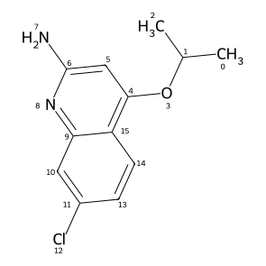 CC(C)Oc1cc(N)nc2cc(Cl)ccc12